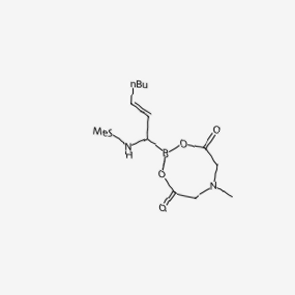 CCCCC=CC(NSC)B1OC(=O)CN(C)CC(=O)O1